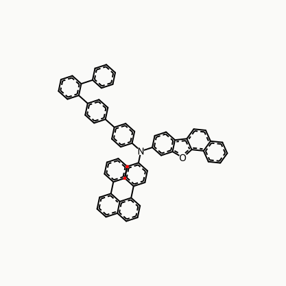 c1ccc(-c2ccccc2-c2ccc(-c3ccc(N(c4ccc(-c5cccc6cccc(-c7ccccc7)c56)cc4)c4ccc5c(c4)oc4c6ccccc6ccc54)cc3)cc2)cc1